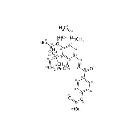 C=CC(C)(C)c1cc(/C=C/C(=O)c2ccc(OC(=O)C(C)(C)C)cc2)c(OC(C)C)c(C(C)(C)C=C)c1OC(=O)C(C)(C)C